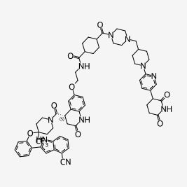 N#Cc1cccc2[nH]c(-c3ccccc3OC3(C(F)(F)F)CCN(C(=O)[C@H]4CC(=O)Nc5ccc(OCCNC(=O)C6CCC(C(=O)N7CCN(CC8CCN(c9ccc(C%10CCC(=O)NC%10=O)cn9)CC8)CC7)CC6)cc54)CC3)cc12